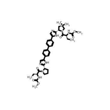 CC[C@H](NC(=O)OC)C(=O)N1CCC[C@H]1c1ncc(-c2ccc(-c3ccc(-c4cnc([C@@H]5C[Si](C)(C)CN5C(=O)[C@H](CC)NC(=O)OC)[nH]4)cc3)cc2)[nH]1